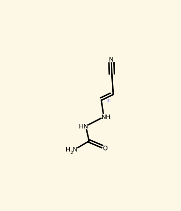 N#C/C=C/NNC(N)=O